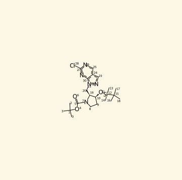 CC(C)(C)OC(=O)N1CC[C@H](O[Si](C)(C)C(C)(C)C)[C@@H]1Cn1ncc2cnc(Cl)nc21